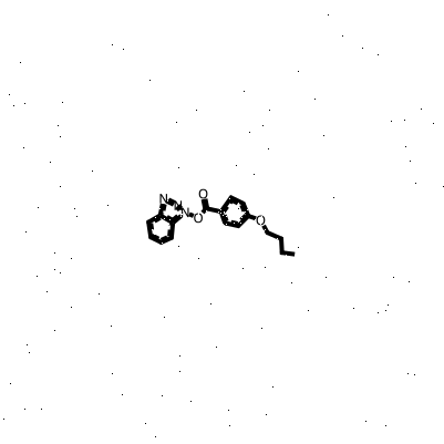 CCCCOc1ccc(C(=O)On2nnc3ccccc32)cc1